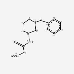 COCC(=O)NC1CCCN(Cc2ccccc2)C1